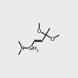 COC(C)(C=C[SiH2]N(C)C)OC